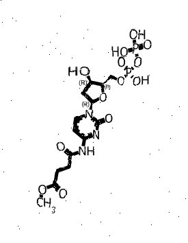 COC(=O)CCC(=O)Nc1ccn([C@H]2C[C@@H](O)[C@@H](COP(=O)(O)OP(=O)(O)O)O2)c(=O)n1